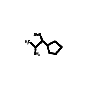 CNC(C(C)N)C1CCCC1